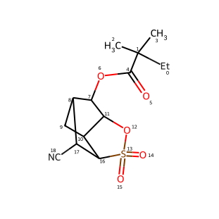 CCC(C)(C)C(=O)OC1C2CC3C1OS(=O)(=O)C3C2C#N